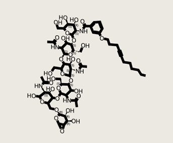 CCCCCCC#CCCCOc1cccc(C(=O)N[C@@H]2C(O[C@H]3C(O)C(NC(C)=O)[C@H](OC4C(CO)O[C@@H](O[C@H]5C(O)C(NC(C)=O)C(OC6C(CO[C@@H]7OC8OC8[C@H](O)[C@H]7O)OC(O)[C@@H](NC(C)=O)[C@@H]6O)O[C@H]5CO)[C@@H](NC(C)=O)[C@@H]4O)O[C@H]3CO)OC(CO)[C@@H](O)[C@@H]2O)c1